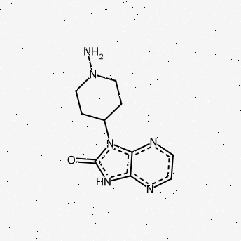 NN1CCC(n2c(=O)[nH]c3nccnc32)CC1